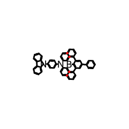 c1ccc(-c2cc(-c3ccccc3)c(B3c4ccccc4N(c4ccc(-n5c6ccccc6c6ccccc65)cc4)c4ccccc43)c(-c3ccccc3)c2)cc1